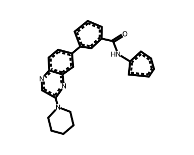 O=C(Nc1ccccc1)c1cccc(-c2ccc3ncc(N4CCCCC4)nc3c2)c1